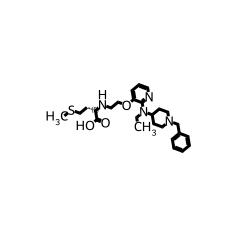 CCN(c1ncccc1OCCN[C@@H](CCSC)C(=O)O)C1CCN(Cc2ccccc2)CC1